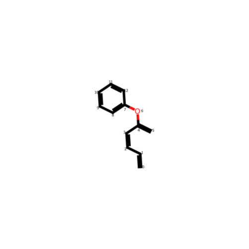 C=C/C=C\C(=C)Oc1ccccc1